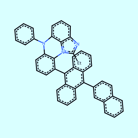 CCc1nc2cccc3c2n1-c1c(-c2c4ccccc4c(-c4ccc5ccccc5c4)c4ccccc24)cccc1N3c1ccccc1